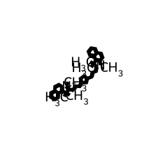 CN1/C(=C/C=C/C2=CC(=C/C=C/C3=[N+](C)c4ccc5ccccc5c4C3(C)C)/CC2)C(C)(C)c2c1ccc1ccccc21